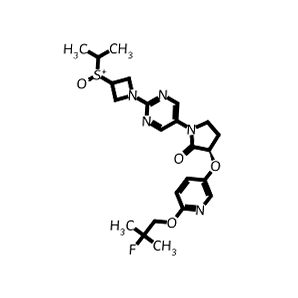 CC(C)[S+]([O-])C1CN(c2ncc(N3CC[C@@H](Oc4ccc(OCC(C)(C)F)nc4)C3=O)cn2)C1